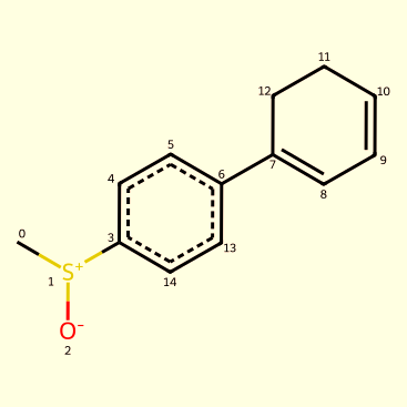 C[S+]([O-])c1ccc(C2=CC=CCC2)cc1